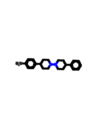 O=[N+]([O-])c1ccc(C2CCN(N3CCC(c4ccccc4)CC3)CC2)cc1